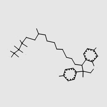 CCOC(=O)C(CCCCCCCCC1c2ccc(O)cc2SCC1(C)c1ccc(O)cc1)CCC(F)(F)C(F)(F)C(F)(F)C(F)(F)F